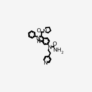 NC(=O)N(CCc1ccncc1)c1ccc2c(C(=O)N3CCCC3)n(-c3ccccc3)nc2c1